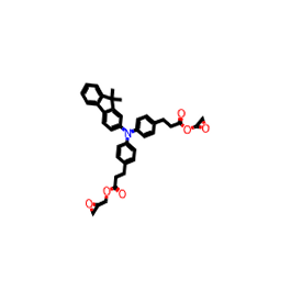 CC1(C)c2ccccc2-c2ccc(N(c3ccc(CCC(=O)OCC4CO4)cc3)c3ccc(CCC(=O)OC4CO4)cc3)cc21